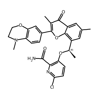 Cc1cc([C@@H](C)Oc2ccc(Cl)nc2C(N)=O)c2oc(-c3ccc4c(c3)OCCN4C)c(C)c(=O)c2c1